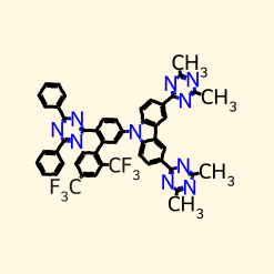 Cc1nc(C)nc(-c2ccc3c(c2)c2cc(-c4nc(C)nc(C)n4)ccc2n3-c2ccc(-c3nc(-c4ccccc4)nc(-c4ccccc4)n3)c(-c3ccc(C(F)(F)F)cc3C(F)(F)F)c2)n1